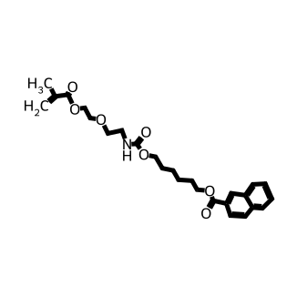 C=C(C)C(=O)OCCOCCNC(=O)OCCCCCCOC(=O)c1ccc2ccccc2c1